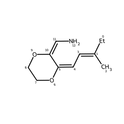 CC/C(C)=C/C=C1/OCCO/C1=C/N